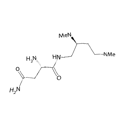 CNCC[C@@H](CNC(=O)[C@@H](N)CC(N)=O)NC